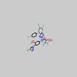 COc1cc(Nc2nc3n(n2)C[C@H](F)[C@H](F)C[C@H]3c2ccc(F)cc2)ccc1-n1cnc(Cl)c1.O=C(O)C(F)(F)F